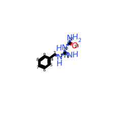 N=C(NCc1ccccc1)NC(N)=O